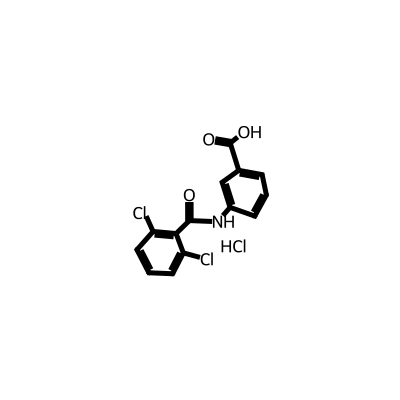 Cl.O=C(O)c1cccc(NC(=O)c2c(Cl)cccc2Cl)c1